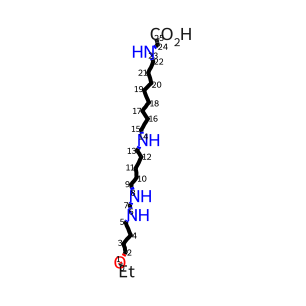 CCOCCCCNCNCCCCCNCCCCCCCCNCC(=O)O